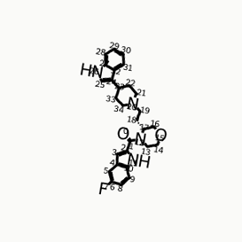 O=C(c1cc2cc(F)ccc2[nH]1)N1CCOC[C@H]1CCN1CCC(c2c[nH]c3ccccc23)CC1